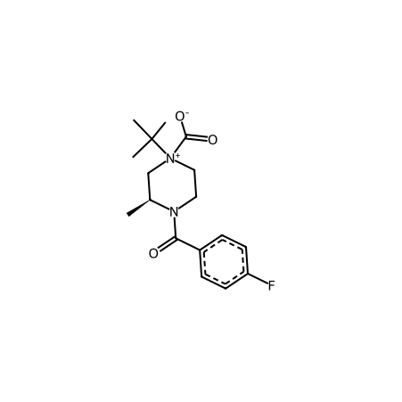 C[C@H]1C[N+](C(=O)[O-])(C(C)(C)C)CCN1C(=O)c1ccc(F)cc1